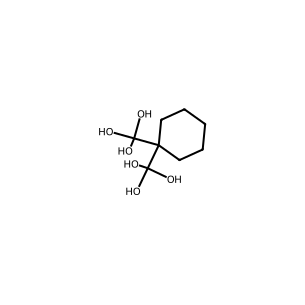 OC(O)(O)C1(C(O)(O)O)CCCCC1